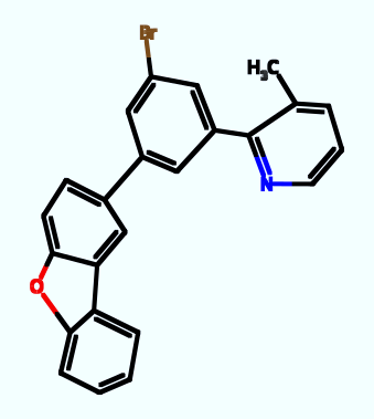 Cc1cccnc1-c1cc(Br)cc(-c2ccc3oc4ccccc4c3c2)c1